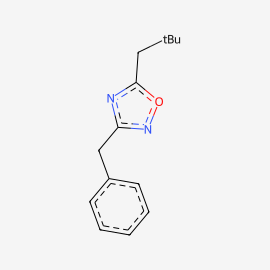 CC(C)(C)Cc1nc(Cc2ccccc2)no1